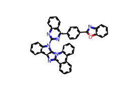 c1ccc2oc(-c3ccc(-c4nc(-n5c6ccccc6c6nc7c8ccccc8c8ccccc8n7c65)nc5ccccc45)cc3)nc2c1